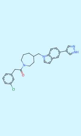 O=C(Cc1cccc(Cl)c1)N1CCCC(Cn2ccc3cc(-c4cn[nH]c4)ccc32)CC1